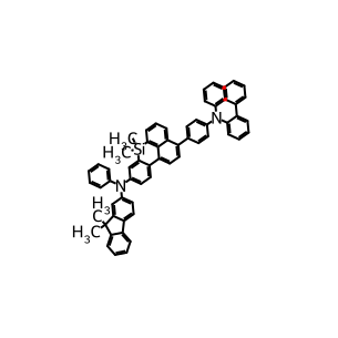 CC1(C)c2ccccc2-c2ccc(N(c3ccccc3)c3ccc4c(c3)[Si](C)(C)c3cccc5c(-c6ccc(N(c7ccccc7)c7ccccc7-c7ccccc7)cc6)ccc-4c35)cc21